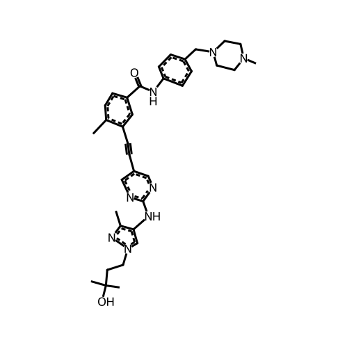 Cc1ccc(C(=O)Nc2ccc(CN3CCN(C)CC3)cc2)cc1C#Cc1cnc(Nc2cn(CCC(C)(C)O)nc2C)nc1